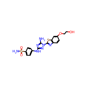 Nc1nc(Nc2ccc(S(N)(=O)=O)cc2)nn1-c1nc2ccc(OCCO)cc2s1